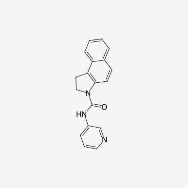 O=C(Nc1cccnc1)N1CCc2c1ccc1ccccc21